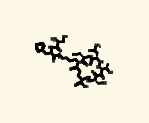 C[C@@H](O)[C@H](NN[C@@H](CC(N)=O)C(=O)N[C@H](C=O)CO)C(=O)C(=O)[C@H](CO)NNC(CCC(=O)NCCCCNC(=O)C(Cc1ccccc1)NC(=O)C(N)CO)C(=O)O